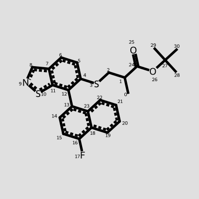 CC(CSc1ccc2cnsc2c1-c1ccc(F)c2ccccc12)C(=O)OC(C)(C)C